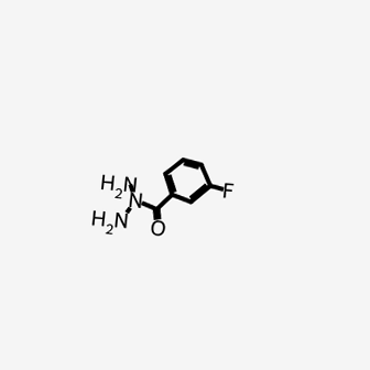 NN(N)C(=O)c1cccc(F)c1